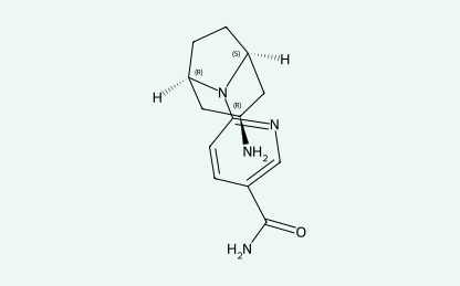 NC(=O)c1ccc(N2[C@@H]3CC[C@H]2C[C@@H](N)C3)nc1